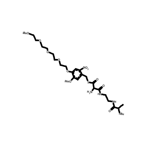 CCCCC(C)C(=O)NCCNC(=O)C(N)C(=O)SCc1cc(OC)c(OCCOCCOCCOCCOCC(C)C)cc1[N+](=O)[O-]